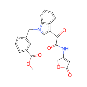 COC(=O)c1cccc(Cn2cc(C(=O)C(=O)NC3=CC(=O)OC3)c3ccccc32)c1